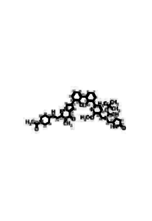 COc1nc(-c2cccc(-c3cccc(-c4cc5c(=O)n(C)c(CNC6CCN(C(C)=O)CC6)nn5c4)c3Cl)c2Cl)ccc1CN(CC1CCC(=O)N1)C(O)OC(C)(C)C